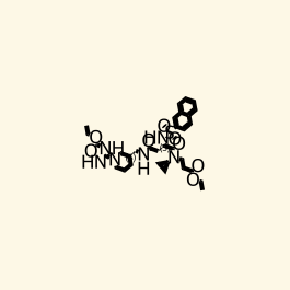 CCOC(=O)CCN(C(=O)[C@H](CC(=O)NC[C@@H]1CCCN(C(=N)NC(=O)OCC)C1)NS(=O)(=O)c1ccc2ccccc2c1)C1CC1